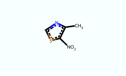 Cc1n[c]sc1[N+](=O)[O-]